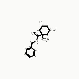 C[C@@H]1C[C@H](C)CC(C(=O)O)(C(N)OCc2ccccc2)C1